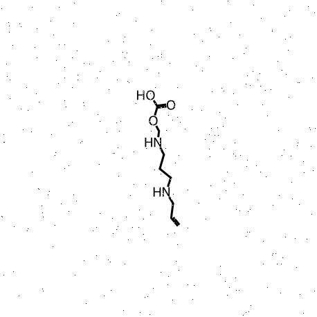 C=CCNCCCNCOC(=O)O